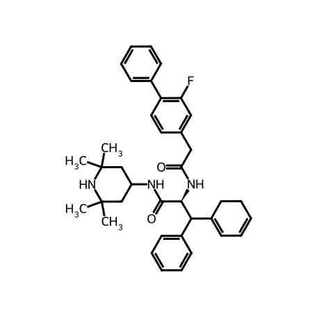 CC1(C)CC(NC(=O)[C@@H](NC(=O)Cc2ccc(-c3ccccc3)c(F)c2)C(C2=CC=CCC2)c2ccccc2)CC(C)(C)N1